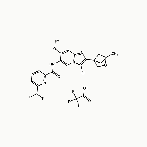 CC(C)Oc1cc2nc(C34COC(C)(C3)C4)c(Cl)n2cc1NC(=O)c1cccc(C(F)F)n1.O=C(O)C(F)(F)F